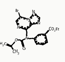 C=C(C)OC(=O)N(c1cccc(C(=O)OCC)c1)c1ncc(Br)n2ncnc12